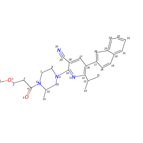 COCCC(=O)N1CCN(c2nc(C(C)C)c(-c3ccc4ccccc4c3)cc2C#N)CC1C